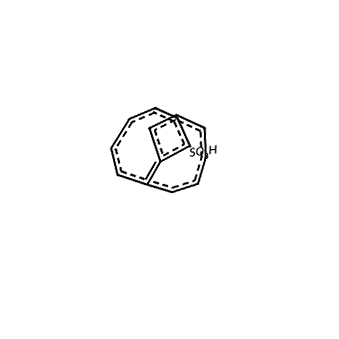 O=S(=O)(O)c1ccccc/c2cccccc/c1=2